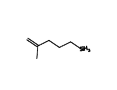 C=C(C)CCC[SiH3]